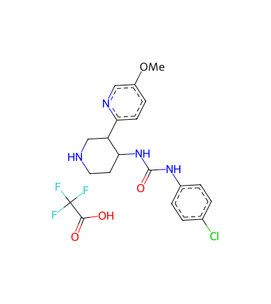 COc1ccc(C2CNCCC2NC(=O)Nc2ccc(Cl)cc2)nc1.O=C(O)C(F)(F)F